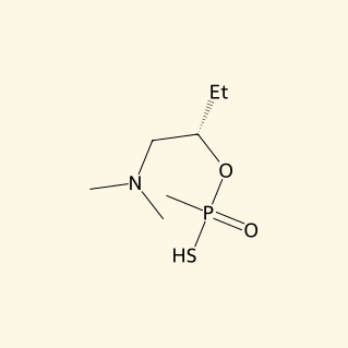 CC[C@@H](CN(C)C)OP(C)(=O)S